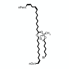 CCCCC/C=C\C/C=C\CCCCCCCC(OCCCCCCCC/C=C\CCCCCCCC)O[Si](C)(C)OCCCCCCBr